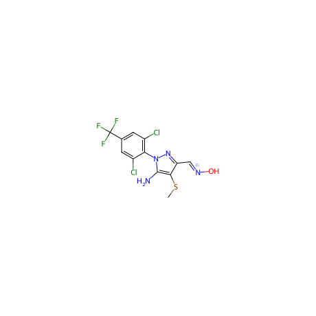 CSc1c(/C=N/O)nn(-c2c(Cl)cc(C(F)(F)F)cc2Cl)c1N